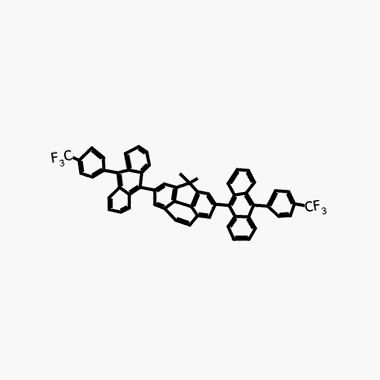 CC1(C)c2cc(-c3c4ccccc4c(-c4ccc(C(F)(F)F)cc4)c4ccccc34)cc3ccc4cc(-c5c6ccccc6c(-c6ccc(C(F)(F)F)cc6)c6ccccc56)cc1c4c23